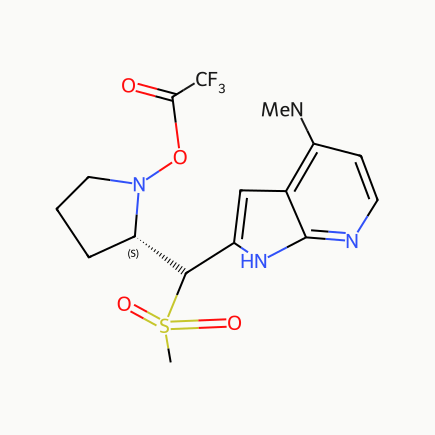 CNc1ccnc2[nH]c(C([C@@H]3CCCN3OC(=O)C(F)(F)F)S(C)(=O)=O)cc12